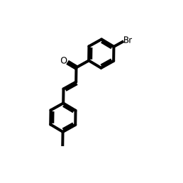 Cc1ccc(C=CC(=O)c2ccc(Br)cc2)cc1